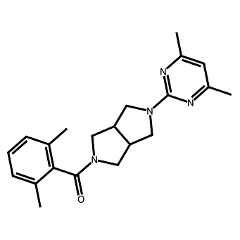 Cc1cc(C)nc(N2CC3CN(C(=O)c4c(C)cccc4C)CC3C2)n1